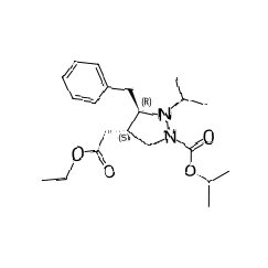 CCOC(=O)C[C@H]1CN(C(=O)OC(C)C)N(C(C)C)[C@@H]1Cc1ccccc1